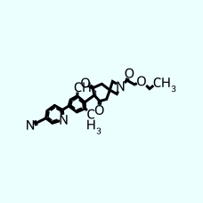 CCOCC(=O)N1CC2(CC(=O)C(c3c(C)cc(-c4ccc(C#N)cn4)cc3C)C(=O)C2)C1